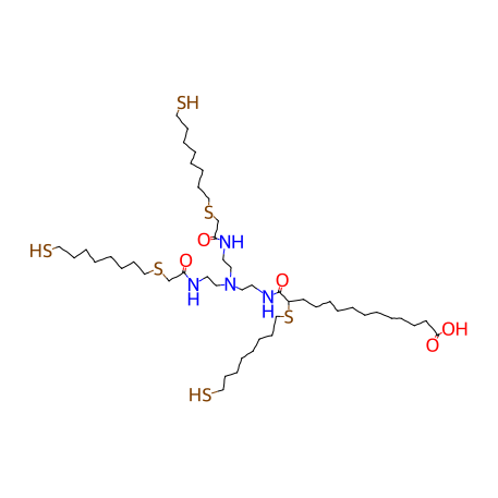 O=C(O)CCCCCCCCCCCC(SCCCCCCCCS)C(=O)NCCN(CCNC(=O)CSCCCCCCCCS)CCNC(=O)CSCCCCCCCCS